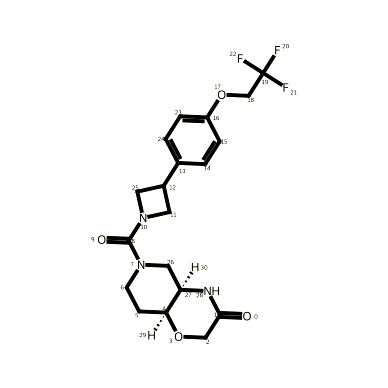 O=C1CO[C@H]2CCN(C(=O)N3CC(c4ccc(OCC(F)(F)F)cc4)C3)C[C@H]2N1